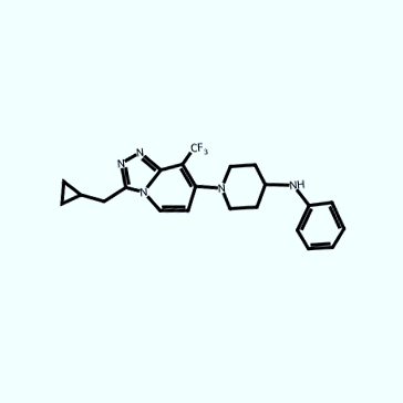 FC(F)(F)c1c(N2CCC(Nc3ccccc3)CC2)ccn2c(CC3CC3)nnc12